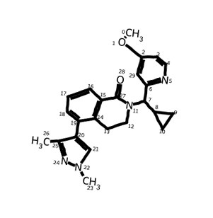 COc1ccnc(C(C2CC2)N2CCc3c(cccc3-c3cn(C)nc3C)C2=O)c1